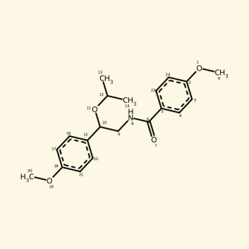 COc1ccc(C(=O)NCC(OC(C)C)c2ccc(OC)cc2)cc1